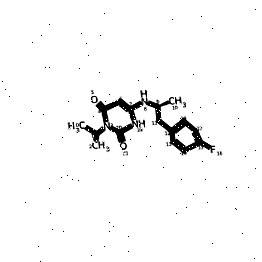 CC(C)n1c(=O)cc(N[C@@H](C)Cc2ccc(F)cc2)[nH]c1=O